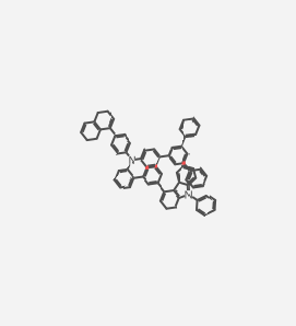 C1=CC2=C(CC1)C(c1ccc(N(c3ccc(-c4cc(-c5ccccc5)cc(-c5ccccc5)c4)cc3)c3ccccc3-c3cccc(C4=CCCc5c4c4ccccc4n5-c4ccccc4)c3)cc1)=CCC2